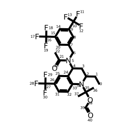 CCC1CC(N(Cc2cc(C(F)(F)F)cc(C(F)(F)F)c2)C(C)=O)c2cc(C(F)(F)F)ccc2N1C(C)(C)OC=O